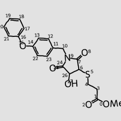 COC(=O)CCSC1C(=O)N(Cc2ccc(Oc3ccccc3)cc2)C(=O)C1O